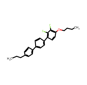 CCCCOc1ccc(-c2ccc(-c3ccc(CCC)cc3)cc2)c(F)c1F